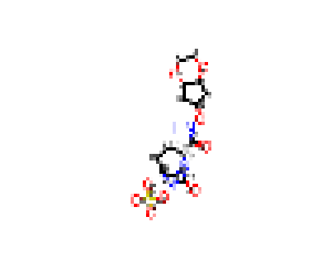 O=C(NOC1CC2OCCOC2C1)[C@@H]1CCC2CN1C(=O)N2OS(=O)(=O)O